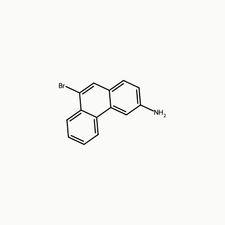 Nc1ccc2cc(Br)c3ccccc3c2c1